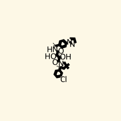 C[C@@H](NC(=O)[C@H](O)[C@@H](O)C(=O)N1CC(C)(C)C[C@@]1(C)C1C=CC=C(Cl)C1)c1ccc(-n2cccn2)cc1